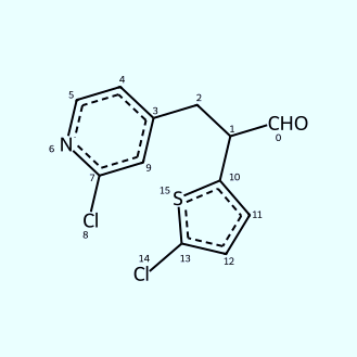 O=CC(Cc1ccnc(Cl)c1)c1ccc(Cl)s1